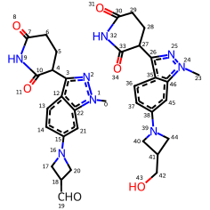 Cn1nc(C2CCC(=O)NC2=O)c2ccc(N3CC(C=O)C3)cc21.Cn1nc(C2CCC(=O)NC2=O)c2ccc(N3CC(CO)C3)cc21